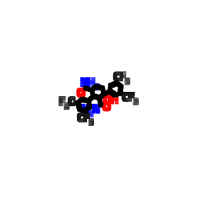 NC(=O)C1=C(c2cc(C(F)(F)F)cc(C(F)(F)F)c2)C(C(N)=O)C=CC1(O)c1cc(C(F)(F)F)cc(C(F)(F)F)c1